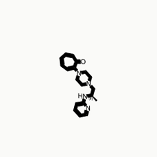 C[C@H](CN1CCN(c2cccccc2=O)CC1)Nc1ccccn1